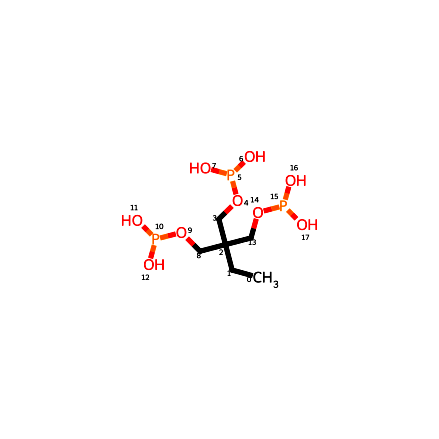 CCC(COP(O)O)(COP(O)O)COP(O)O